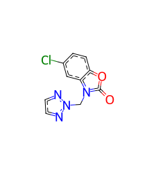 O=c1oc2ccc(Cl)cc2n1Cn1nccn1